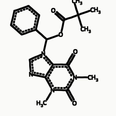 Cn1c(=O)c2c(ncn2C(OC(=O)C(C)(C)C)c2ccccc2)n(C)c1=O